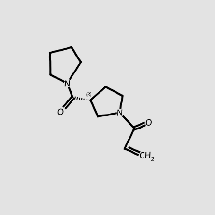 C=CC(=O)N1CC[C@@H](C(=O)N2CCCC2)C1